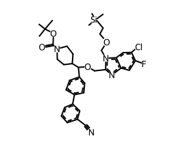 CC(C)(C)OC(=O)N1CCC(C(OCc2nc3cc(F)c(Cl)cc3n2COCC[Si](C)(C)C)c2ccc(-c3cccc(C#N)c3)cc2)CC1